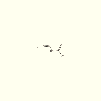 O=C=NNC(=O)O